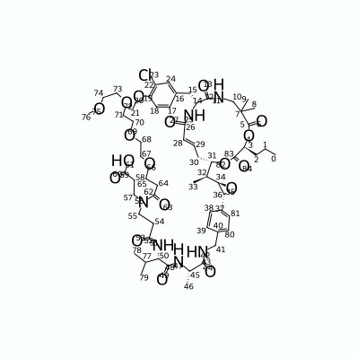 CCC[C@@H]1OC(=O)C(C)(C)CNC(=O)[C@@H](Cc2ccc(OC)c(Cl)c2)NC(=O)/C=C/C[C@@H]([C@H](C)[C@H]2O[C@@H]2c2ccc(CNC(=O)[C@H](C)NC(=O)[C@@H](NC(=O)CCN(CCC(=O)O)C(=O)CCOCCOCCOCCOC)C(C)C)cc2)OC1=O